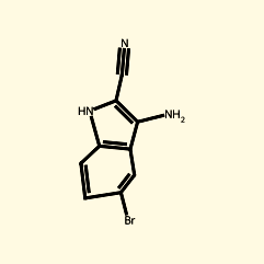 N#Cc1[nH]c2ccc(Br)cc2c1N